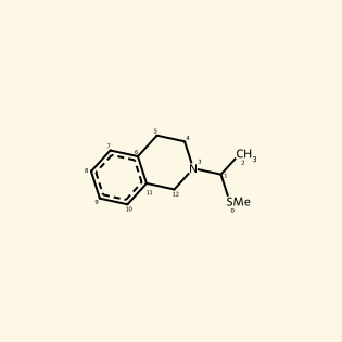 CSC(C)N1CCc2ccccc2C1